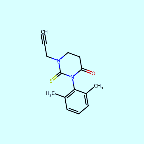 C#CCN1CCC(=O)N(c2c(C)cccc2C)C1=S